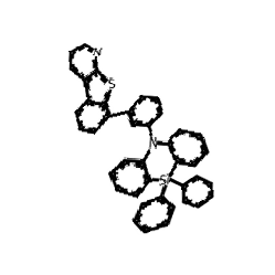 c1ccc([Si]2(c3ccccc3)c3ccccc3N(c3cccc(-c4cccc5c4sc4ncccc45)c3)c3ccccc32)cc1